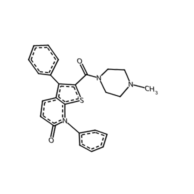 CN1CCN(C(=O)c2sc3c(ccc(=O)n3-c3ccccc3)c2-c2ccccc2)CC1